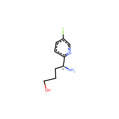 N[C@@H](CCCO)c1ccc(F)cn1